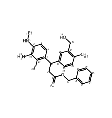 CCNc1ccc(C(CC(=O)OCc2ccccc2)c2ccc(C)c(CO)c2)c(F)c1N